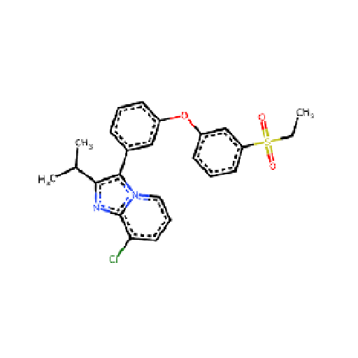 CCS(=O)(=O)c1cccc(Oc2cccc(-c3c(C(C)C)nc4c(Cl)cccn34)c2)c1